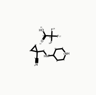 N#CC1(CNC2CCNCC2)CC1.O=C(O)C(F)(F)F